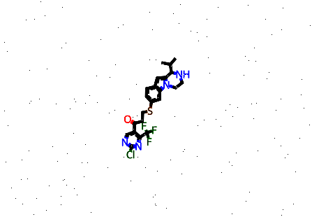 CC(C)C1NCCn2c1cc1ccc(SCCC(=O)c3cnc(Cl)nc3C(F)(F)F)cc12